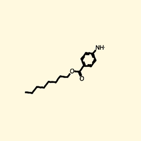 CCCCCCCCOC(=O)c1ccc([NH])cc1